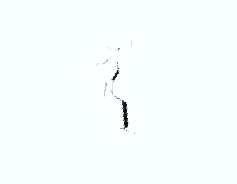 CC(=O)/C=C/N=C/[Si](C)(C)C(C)(C)C